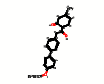 CCCCCOc1ccc(-c2ccc(CC(=O)C3CCC(CCC)CC3=O)cc2)cc1